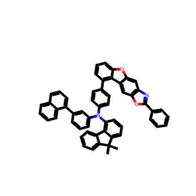 CC1(C)c2ccccc2-c2c(N(c3ccc(-c4cccc5oc6cc7nc(-c8ccccc8)oc7cc6c45)cc3)c3cccc(-c4cccc5ccccc45)c3)cccc21